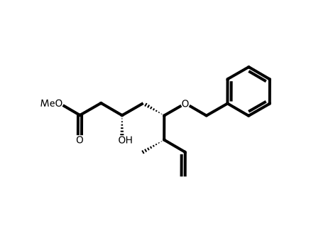 C=C[C@H](C)[C@H](C[C@H](O)CC(=O)OC)OCc1ccccc1